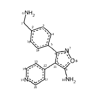 NCc1ccc(-c2noc(N)c2-c2ccncc2)cc1